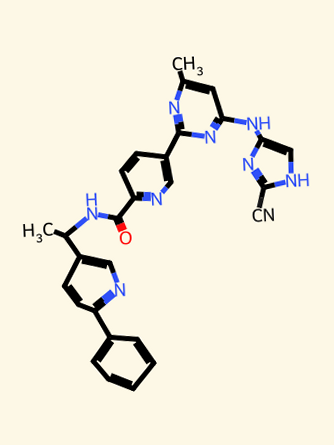 Cc1cc(Nc2c[nH]c(C#N)n2)nc(-c2ccc(C(=O)NC(C)c3ccc(-c4ccccc4)nc3)nc2)n1